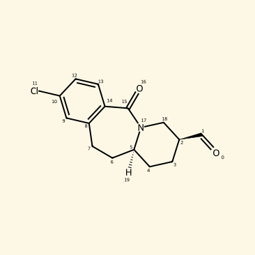 O=C[C@H]1CC[C@H]2CCc3cc(Cl)ccc3C(=O)N2C1